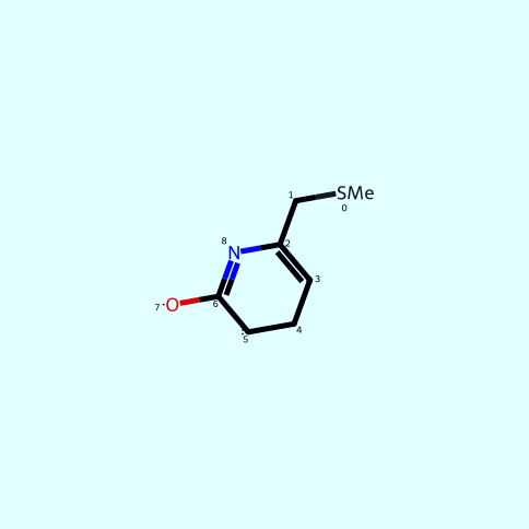 [CH2]SCC1=CC[C]C([O])=N1